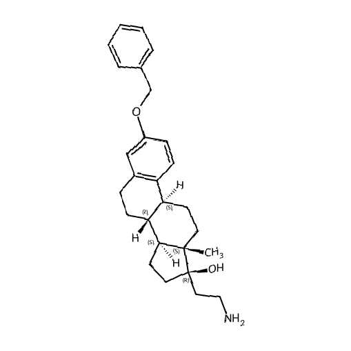 C[C@]12CC[C@@H]3c4ccc(OCc5ccccc5)cc4CC[C@H]3[C@@H]1CC[C@@]2(O)CCN